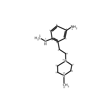 CNc1ccc(N)cc1CCN1CCN(C)CC1